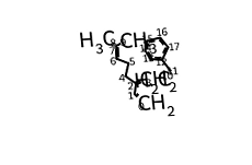 C=CC(=C)CCC=C(C)C.C=Cc1ccccc1